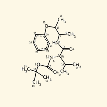 CC(NC(=O)[C@@H](NC(=O)OC(C)(C)C)C(C)C)C(C)Oc1ccccc1